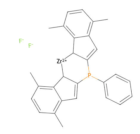 Cc1ccc(C)c2c1C=C1[CH]2[Zr+2][CH]2C(=Cc3c(C)ccc(C)c32)P1c1ccccc1.[F-].[F-]